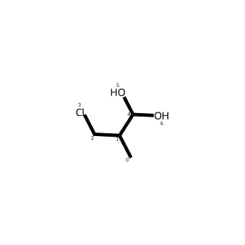 CC(CCl)C(O)O